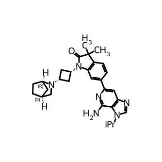 CC(C)n1cnc2cc(-c3ccc4c(c3)N([C@H]3C[C@@H](N5C[C@H]6CC[C@@H]5C6)C3)C(=O)C4(C)C)nc(N)c21